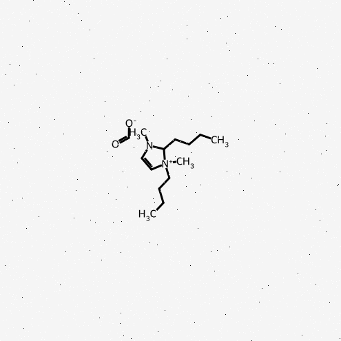 CCCCC1N(C)C=C[N+]1(C)CCCC.O=C[O-]